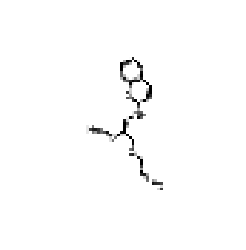 CCCCCCO/C(=C/NC1C=Cc2ccccc2O1)COCC=C=O